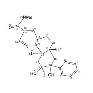 CCC12CC(C)(O)C(O)(c3ccccc3)C[C@H]1CCc1cc(C(=O)NC)ccc12